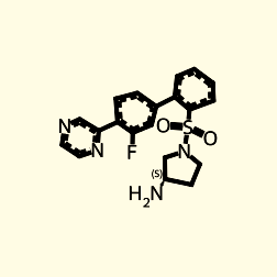 N[C@H]1CCN(S(=O)(=O)c2ccccc2-c2ccc(-c3cnccn3)c(F)c2)C1